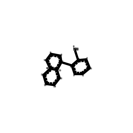 [NH]c1ccccc1-c1cccc2ccccc12